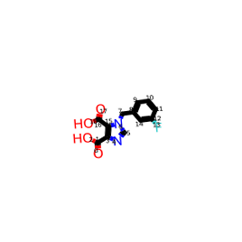 O=C(O)c1ncn(Cc2cccc(F)c2)c1C(=O)O